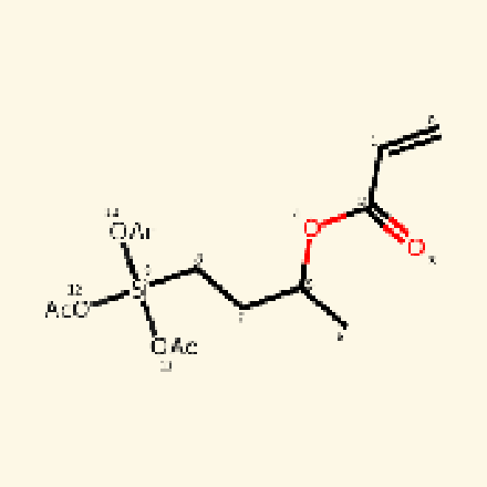 C=CC(=O)OC(C)CC[Si](OC(C)=O)(OC(C)=O)OC(C)=O